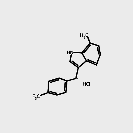 Cc1cccc2c([CH]c3ccc(C(F)(F)F)cc3)c[nH]c12.Cl